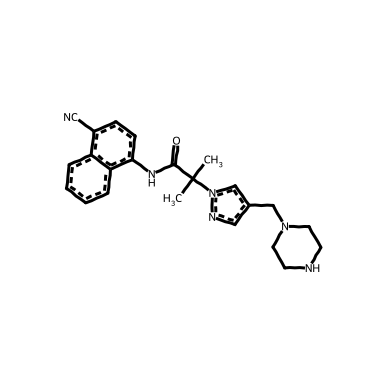 CC(C)(C(=O)Nc1ccc(C#N)c2ccccc12)n1cc(CN2CCNCC2)cn1